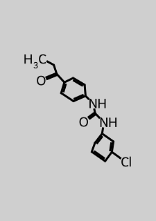 CCC(=O)c1ccc(NC(=O)Nc2cccc(Cl)c2)cc1